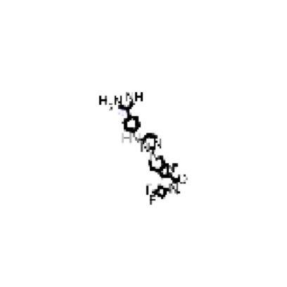 CN(C(=O)c1cc2c(n1C)CN(c1nccc(Nc3ccc(/C(C=N)=C/N)cc3)n1)CC2)C1CC(F)(F)C1